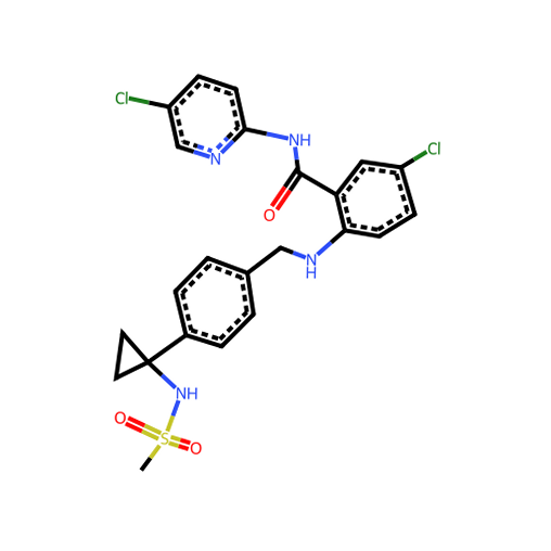 CS(=O)(=O)NC1(c2ccc(CNc3ccc(Cl)cc3C(=O)Nc3ccc(Cl)cn3)cc2)CC1